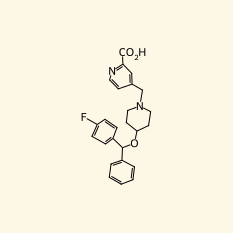 O=C(O)c1cc(CN2CCC(OC(c3ccccc3)c3ccc(F)cc3)CC2)ccn1